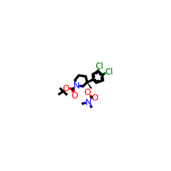 CN(C)C(=O)OC[C@]1(c2ccc(Cl)c(Cl)c2)CCCN(C(=O)OC(C)(C)C)C1